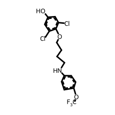 Oc1cc(Cl)c(OCCCCNc2ccc(OC(F)(F)F)cc2)c(Cl)c1